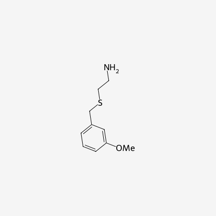 COc1cccc(CSCCN)c1